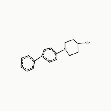 CCCC1CCN(c2ccc(-c3ccccc3)cc2)CC1